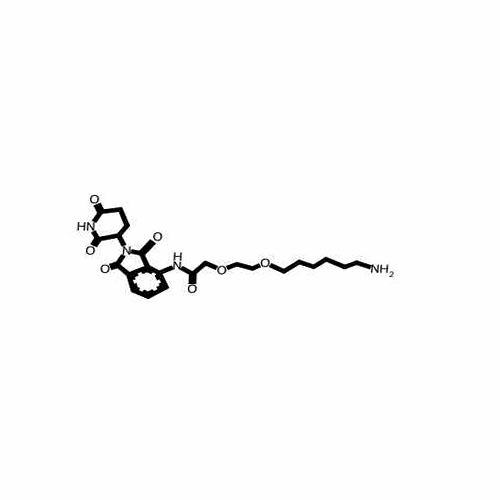 NCCCCCCOCCOCC(=O)Nc1cccc2c1C(=O)N(C1CCC(=O)NC1=O)C2=O